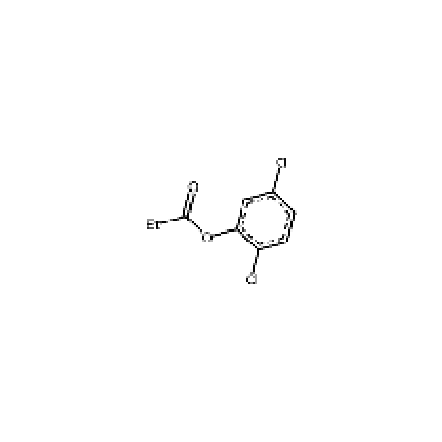 CCC(=O)Oc1cc(Cl)ccc1Cl